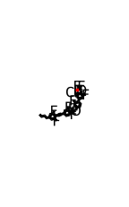 CCCCc1cc(F)c(C#Cc2ccc(C(F)(F)Oc3ccc(-c4cc(F)c(OC(F)(F)F)c(Cl)c4)c(F)c3)c(F)c2)c(F)c1